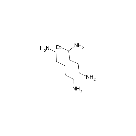 CCC(N)CCCN.NCCCCCN